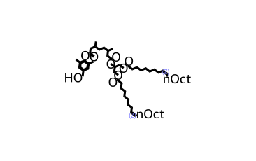 CCCCCCCC/C=C\CCCCCCCC(=O)OCC(COC(=O)CCCCCCC/C=C\CCCCCCCC)OC(=O)CC(C)CCC(C)CC(=O)Oc1c(C)cc(CO)cc1C